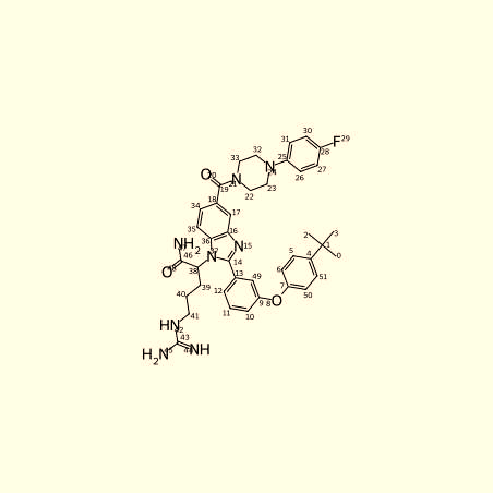 CC(C)(C)c1ccc(Oc2cccc(-c3nc4cc(C(=O)N5CCN(c6ccc(F)cc6)CC5)ccc4n3C(CCCNC(=N)N)C(N)=O)c2)cc1